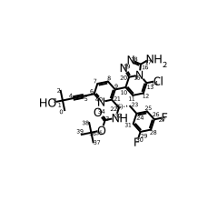 CC(C)(O)C#Cc1ccc(-c2ccc(Cl)n3c(N)nnc23)c([C@H](Cc2cc(F)cc(F)c2)NC(=O)OC(C)(C)C)n1